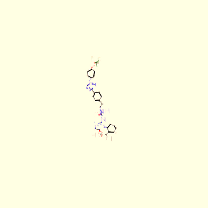 CC(C)c1ccccc1N1C(=O)CN/C1=N\C(=O)NCCc1ccc(-c2ncn(-c3ccc(OC(F)(F)F)cc3)n2)cc1